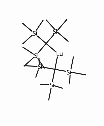 C[Si](C)(C)[C]([Lu][C]([Si](C)(C)C)([Si](C)(C)C)[Si](C)(C)C)([Si](C)(C)C)[Si](C)(C)C